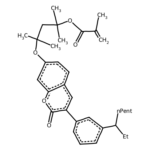 C=C(C)C(=O)OC(C)(C)CC(C)(C)Oc1ccc2cc(-c3cccc(C(CC)CCCCC)c3)c(=O)oc2c1